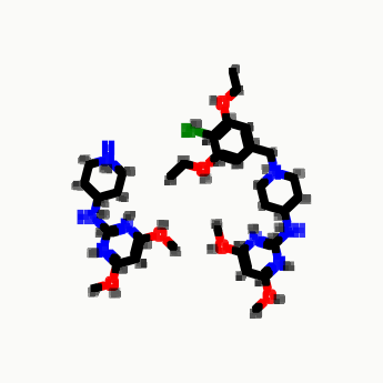 CCOc1cc(CN2CCC(Nc3nc(OC)cc(OC)n3)CC2)cc(OCC)c1Br.COc1cc(OC)nc(NC2CCNCC2)n1